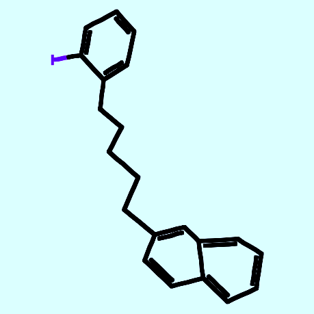 Ic1ccccc1CCCCCc1ccc2ccccc2c1